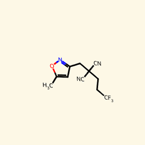 Cc1cc(CC(C#N)(C#N)CCC(F)(F)F)no1